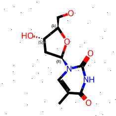 Cc1cn([C@H]2C[C@H](O)[C@@H](C[O])O2)c(=O)[nH]c1=O